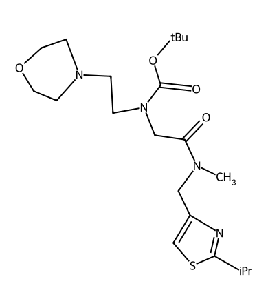 CC(C)c1nc(CN(C)C(=O)CN(CCN2CCOCC2)C(=O)OC(C)(C)C)cs1